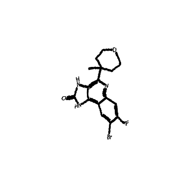 CC1(c2nc3cc(F)c(Br)cc3c3[nH]c(=O)[nH]c23)CCOCC1